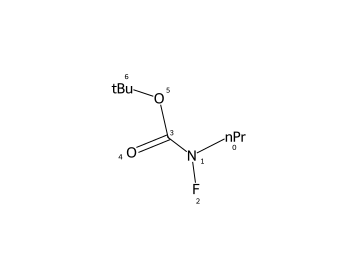 CCCN(F)C(=O)OC(C)(C)C